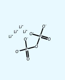 O=P([O-])([O-])OP(=O)([O-])[O-].[Li+].[Li+].[Li+].[Li+]